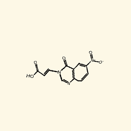 O=C(O)C=Cn1cnc2ccc([N+](=O)[O-])cc2c1=O